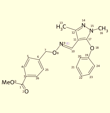 COC(=O)c1ccc(CO/N=C/c2c(C)nn(C)c2Oc2ccccc2)cc1